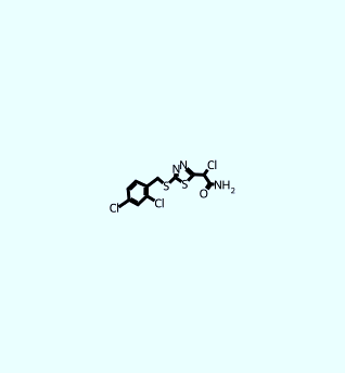 NC(=O)C(Cl)c1nnc(SCc2ccc(Cl)cc2Cl)s1